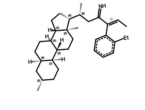 C/C=C(/C(=N)C[C@@H](C)[C@H]1CC[C@H]2[C@@H]3CC[C@@H]4C[C@@H](C)CC[C@@H]4[C@H]3CC[C@]12C)c1ccccc1CC